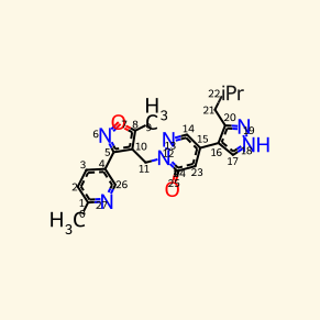 Cc1ccc(-c2noc(C)c2Cn2ncc(-c3c[nH]nc3CC(C)C)cc2=O)cn1